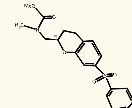 COC(=O)N(C)C[C@H]1CCc2ccc(S(=O)(=O)c3ccccc3)cc2O1